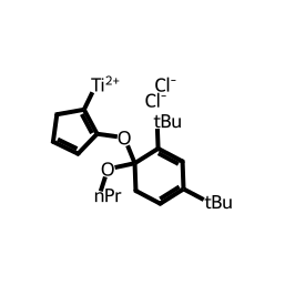 CCCOC1(OC2=[C]([Ti+2])CC=C2)CC=C(C(C)(C)C)C=C1C(C)(C)C.[Cl-].[Cl-]